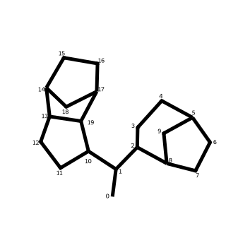 CC(C1CCC2CCC1C2)C1CCC2C3CCC(C3)C21